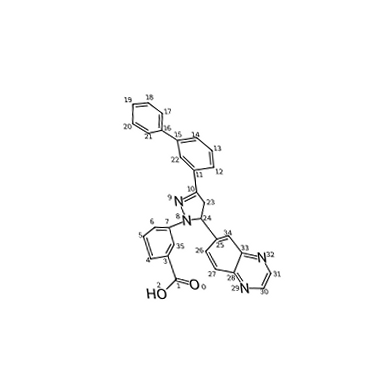 O=C(O)c1cccc(N2N=C(c3cccc(-c4ccccc4)c3)CC2c2ccc3nccnc3c2)c1